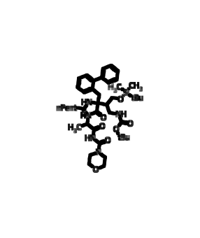 CCCCCC(=O)NC(Cc1ccccc1-c1ccccc1)(C(=O)NC(C)C(=O)NC(=O)N1CCOCC1)C(CNC(=O)OC(C)(C)C)CO[Si](C)(C)C(C)(C)C